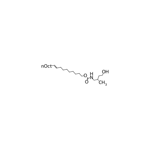 CCCCCCCCC=CCCCCCCCCOC(=O)NCC(C)CCO